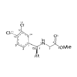 CC[C@H](NCC(=O)OC)c1ccc(Cl)c(Cl)c1